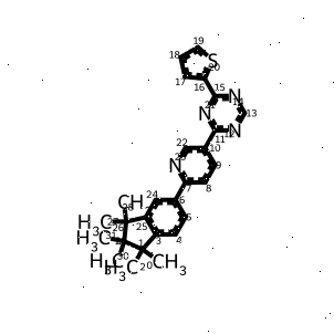 CC1(C)c2ccc(-c3ccc(-c4ncnc(-c5cccs5)n4)cn3)cc2C(C)(C)C1(C)C